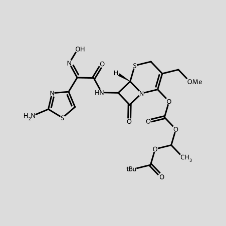 COCC1=C(OC(=O)OC(C)OC(=O)C(C)(C)C)N2C(=O)C(NC(=O)/C(=N\O)c3csc(N)n3)[C@@H]2SC1